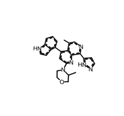 Cc1cnc(-c2ccn[nH]2)c2nc(N3CCOCC3C)cc(-c3cccc4[nH]ccc34)c12